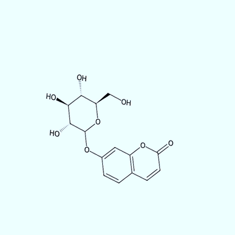 O=c1ccc2ccc(OC3O[C@H](CO)[C@@H](O)[C@H](O)[C@H]3O)cc2o1